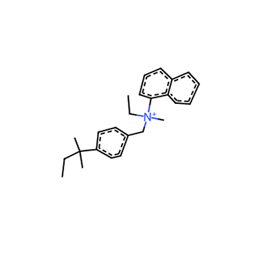 CCC(C)(C)c1ccc(C[N+](C)(CC)c2cccc3ccccc23)cc1